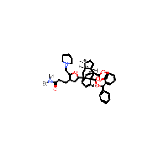 CCN(CC)C(=O)CCC1CC(C23C[C@@H]4[C@H](C)CC[C@H]4C4(C5OCCO5)CC2C=C(C(C)C)C34C(=O)OC(c2ccccc2)c2ccccc2)OC1CN1CCCCC1